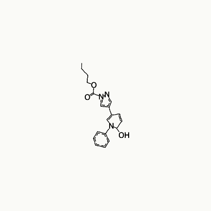 CCCCOC(=O)n1cc(C2=CN(c3ccccc3)C(O)C=C2)cn1